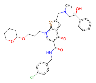 CN(Cc1cc2c(=O)c(C(=O)NCc3ccc(Cl)cc3)cn(CCCOC3CCCCO3)c2s1)C[C@@H](O)c1ccccc1